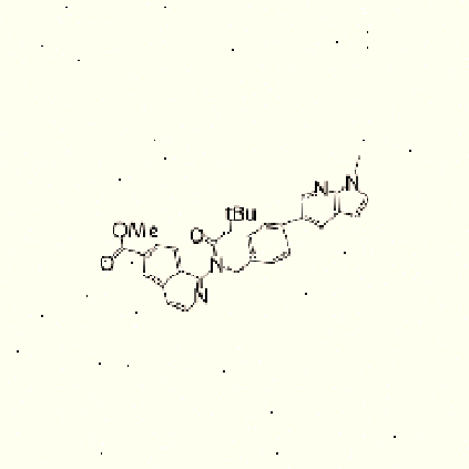 COC(=O)c1ccc2c(N(Cc3ccc(-c4cnc5c(ccn5C)c4)cc3)C(=O)CC(C)(C)C)nccc2c1